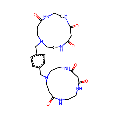 O=C1CCN(Cc2ccc(CN3CCNC(=O)CC(=O)NCCNC(=O)CC3)cc2)CCNC(=O)CC(=O)NCCN1